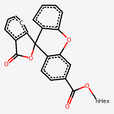 CCCCCCOC(=O)c1ccc2c(c1)Oc1ccccc1C21OC(=O)c2ccccc21